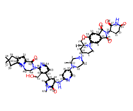 C[C@H]1CN([C@H]2CCN3c4cc5c(cc4OC[C@H]3C2)C(=O)N(C2CCC(=O)NC2=O)C5=O)CCN1c1ccc(Nc2cc(-c3ccnc(N4CCn5c(cc6c5CC(C)(C)C6)C4=O)c3CO)cn(C)c2=O)nc1